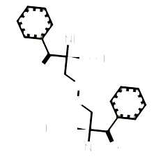 N[C@@](CSSC[C@](N)(C(=O)O)C(=O)c1ccccc1)(C(=O)O)C(=O)c1ccccc1